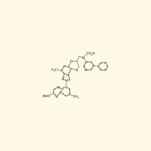 COc1cnc2c(-c3nc4c(C)cc5c(c4s3)OCC(CN(C(=O)O)c3cncc(-c4ccccc4)c3)O5)cc(C)cc2n1